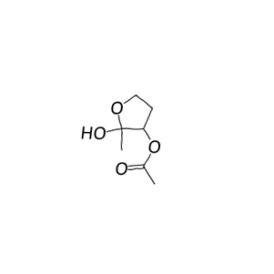 CC(=O)OC1CCOC1(C)O